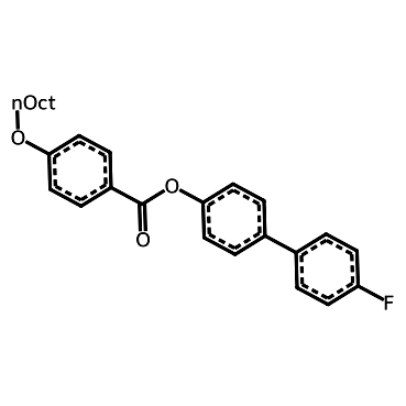 CCCCCCCCOc1ccc(C(=O)Oc2ccc(-c3ccc(F)cc3)cc2)cc1